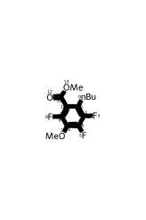 CCCCc1c(F)c(F)c(OC)c(F)c1C(=O)OC